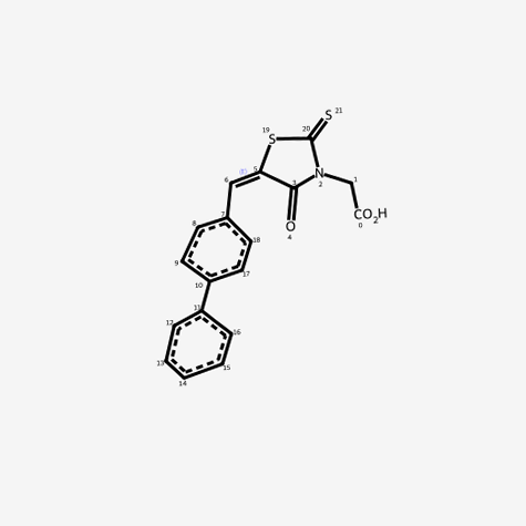 O=C(O)CN1C(=O)/C(=C\c2ccc(-c3ccccc3)cc2)SC1=S